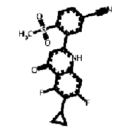 CS(=O)(=O)c1ccc(C#N)cc1-c1cc(=O)c2c(F)c(C3CC3)c(F)cc2[nH]1